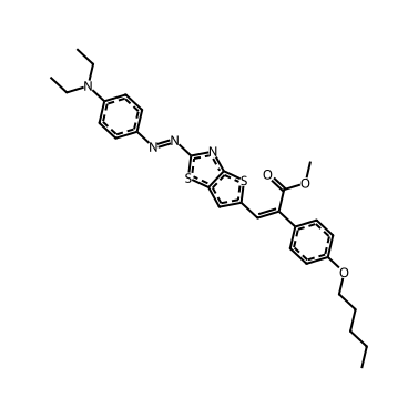 CCCCCOc1ccc(/C(=C/c2cc3sc(/N=N/c4ccc(N(CC)CC)cc4)nc3s2)C(=O)OC)cc1